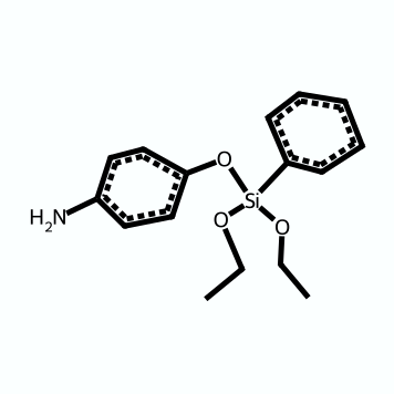 CCO[Si](OCC)(Oc1ccc(N)cc1)c1ccccc1